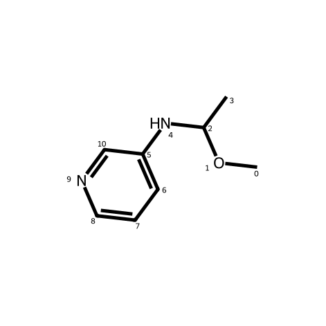 COC(C)Nc1cccnc1